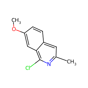 COc1ccc2cc(C)nc(Cl)c2c1